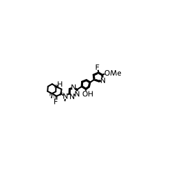 COc1ncc(-c2ccc(-c3ncc(N(C)[C@@H]4C[C@H]5CCC[C@](C)(C5)[C@@H]4F)nn3)c(O)c2)cc1F